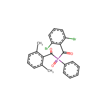 Cc1cccc(C)c1C(=O)P(=O)(C(=O)c1c(Br)cccc1Br)c1ccccc1